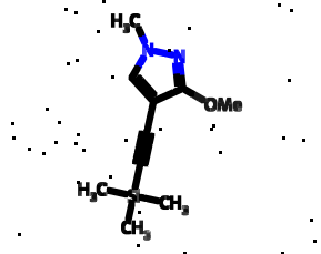 COc1nn(C)cc1C#C[Si](C)(C)C